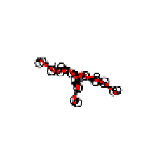 C=CC(=O)OCCCCCCOc1ccc(OC(=O)C2CCC(COc3ccc4c(c3)nc(Oc3ccc(OCCCCCCOC(=O)C=C)cc3)c3cc(OCC5CCC(C(O)Oc6ccc(OCCCCCCOC(=O)C=C)cc6)CC5)ccc34)CC2)cc1